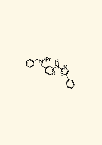 CC(C)N(Cc1ccccc1)Cc1ccnc(Nc2ncc(-c3ccccc3)s2)c1